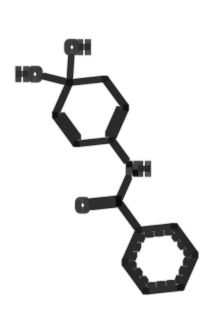 O=C(NC1=CCC(O)(O)C=C1)c1ccccc1